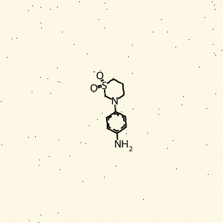 Nc1ccc(N2CCCS(=O)(=O)C2)cc1